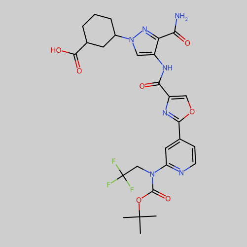 CC(C)(C)OC(=O)N(CC(F)(F)F)c1cc(-c2nc(C(=O)Nc3cn(C4CCCC(C(=O)O)C4)nc3C(N)=O)co2)ccn1